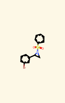 O=S(=O)(c1ccccc1)N1CC1c1cccc(Br)c1